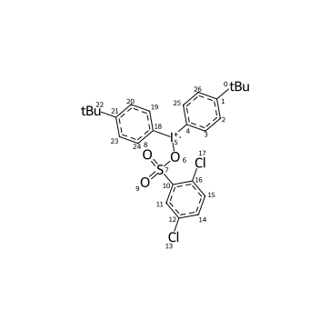 CC(C)(C)c1ccc([I+](OS(=O)(=O)c2cc(Cl)ccc2Cl)c2ccc(C(C)(C)C)cc2)cc1